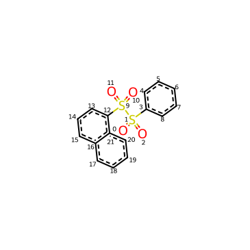 O=S(=O)(c1ccccc1)S(=O)(=O)c1cccc2ccccc12